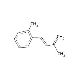 C=C(C)C=Cc1ccccc1C